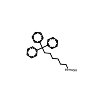 SNCCCCCCC(c1ccccc1)(c1ccccc1)c1ccccc1